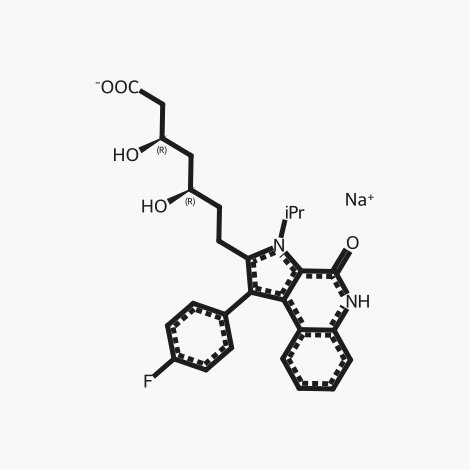 CC(C)n1c(CC[C@@H](O)C[C@@H](O)CC(=O)[O-])c(-c2ccc(F)cc2)c2c3ccccc3[nH]c(=O)c21.[Na+]